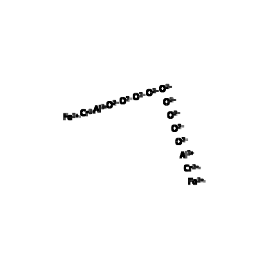 [Al+3].[Al+3].[Cr+3].[Cr+3].[Fe+3].[Fe+3].[O-2].[O-2].[O-2].[O-2].[O-2].[O-2].[O-2].[O-2].[O-2]